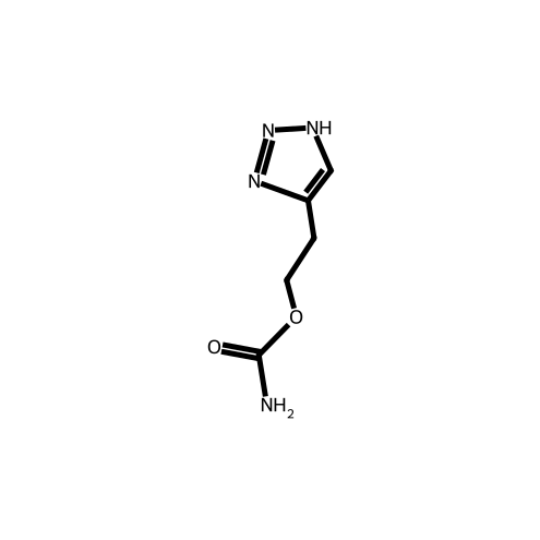 NC(=O)OCCc1c[nH]nn1